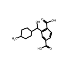 CC1CCC(C(O)c2cc(C(=O)O)ccc2C(=O)O)CC1